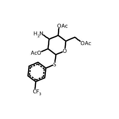 CC(=O)OCC1OC(Sc2cccc(C(F)(F)F)c2)C(OC(C)=O)C(N)C1OC(C)=O